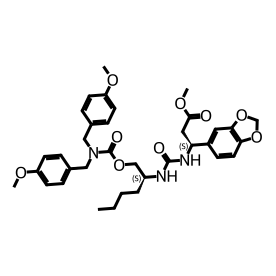 CCCC[C@@H](COC(=O)N(Cc1ccc(OC)cc1)Cc1ccc(OC)cc1)NC(=O)N[C@@H](CC(=O)OC)c1ccc2c(c1)OCO2